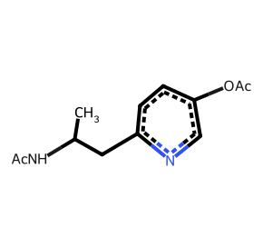 CC(=O)NC(C)Cc1ccc(OC(C)=O)cn1